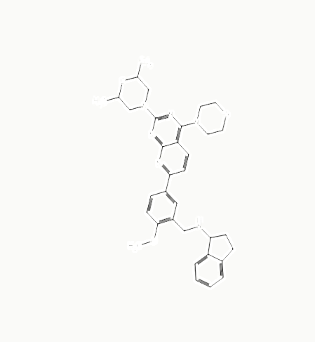 COc1ccc(-c2ccc3c(N4CCOCC4)nc(N4CC(C)OC(C)C4)nc3n2)cc1CNC1CCc2ccccc21